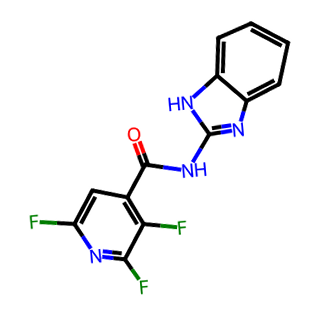 O=C(Nc1nc2ccccc2[nH]1)c1cc(F)nc(F)c1F